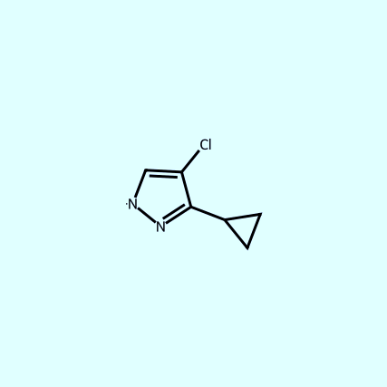 ClC1=C[N]N=C1C1CC1